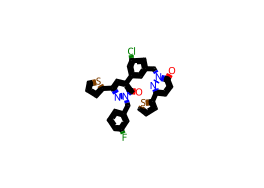 O=c1ccc(-c2cccs2)nn1Cc1cc(Cl)cc(-c2cc(-c3cccs3)nn(Cc3cccc(F)c3)c2=O)c1